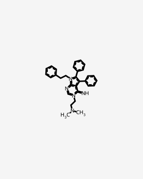 CN(C)CCn1cnc2c(c(-c3ccccc3)c(-c3ccccc3)n2CCc2ccccc2)c1=N